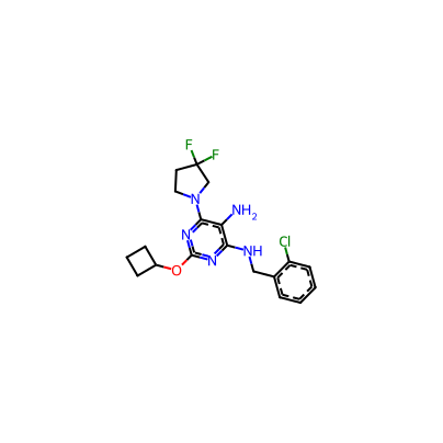 Nc1c(NCc2ccccc2Cl)nc(OC2CCC2)nc1N1CCC(F)(F)C1